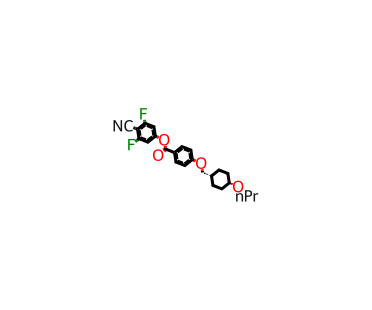 CCCO[C@H]1CC[C@H](COc2ccc(C(=O)Oc3cc(F)c(C#N)c(F)c3)cc2)CC1